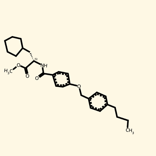 CCCCc1ccc(COc2ccc(C(=O)N[C@@H](CC3CCCCC3)C(=O)OC)cc2)cc1